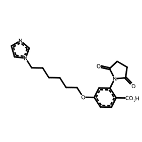 O=C(O)c1ccc(OCCCCCCn2ccnc2)cc1N1C(=O)CCC1=O